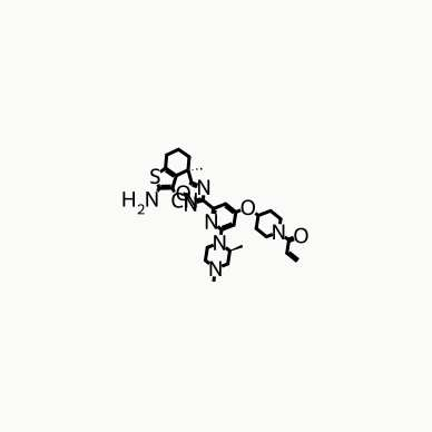 C=CC(=O)N1CCC(Oc2cc(-c3noc([C@]4(C)CCCc5sc(N)c(C#N)c54)n3)nc(N3CCN(C)C[C@@H]3C)c2)CC1